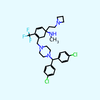 CNC1(CCN2CCC2)C=CC(C(F)(F)F)=C(CN2CCN(C(c3ccc(Cl)cc3)c3ccc(Cl)cc3)CC2)C1